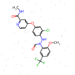 CNC(=O)c1cc(Oc2ccc(NN(C=O)c3cc(C(F)(F)F)ccc3OC)c(Cl)c2)ccn1